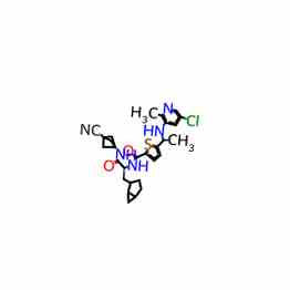 Cc1ncc(Cl)cc1N[C@@H](C)c1ccc(C(=O)N[C@@H](CC2CCC3CC32)C(=O)NC23CC(C#N)(C2)C3)s1